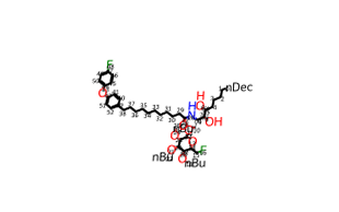 CCCCCCCCCCCCCC[C@@H](O)[C@@H](O)[C@H](CO[C@H]1OC(CF)[C@@H](OCCCC)C(OCCCC)C1OCCCC)NC(=O)CCCCCCCCCCc1ccc(Oc2ccc(F)cc2)cc1